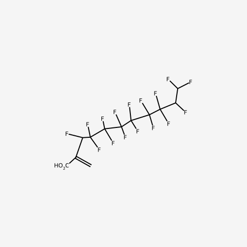 C=C(C(=O)O)C(F)C(F)(F)C(F)(F)C(F)(F)C(F)(F)C(F)(F)C(F)(F)C(F)C(F)F